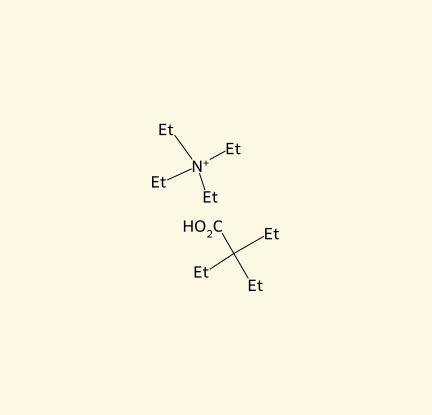 CCC(CC)(CC)C(=O)O.CC[N+](CC)(CC)CC